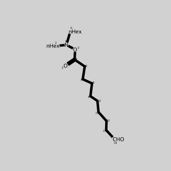 CCCCCCN(CCCCCC)OC(=O)CCCCCCCCC=O